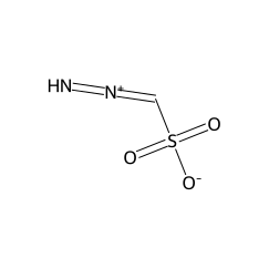 N=[N+]=CS(=O)(=O)[O-]